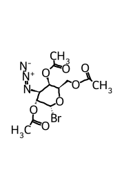 CC(=O)OC[C@H]1O[C@H](Br)[C@H](OC(C)=O)[C@@H](N=[N+]=[N-])[C@H]1OC(C)=O